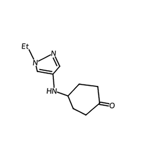 CCn1cc(NC2CCC(=O)CC2)cn1